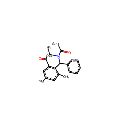 Cc1cc(C(C)(C)C)cc(C(=O)OCC(C)C)c1C(c1ccccc1)N(CC(C)C)C(=O)OCC(C)C